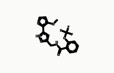 COc1ccsc1-c1cc(CNC(=O)c2ccccc2OC(F)(F)F)n[nH]1